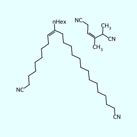 CC(=CCC#N)C(C)C#N.CCCCCCC(=CCCCCCCCC#N)CCCCCCCCCCCCCC#N